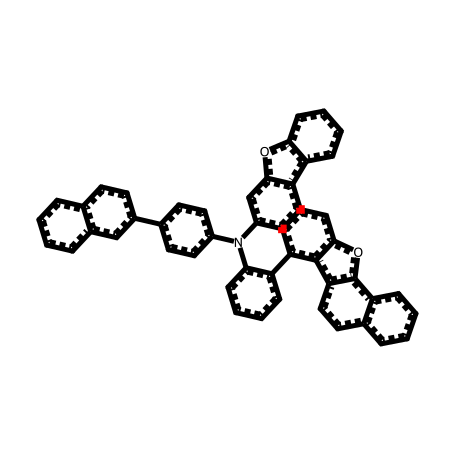 c1ccc(N(c2ccc(-c3ccc4ccccc4c3)cc2)c2ccc3c(c2)oc2ccccc23)c(-c2cccc3oc4c5ccccc5ccc4c23)c1